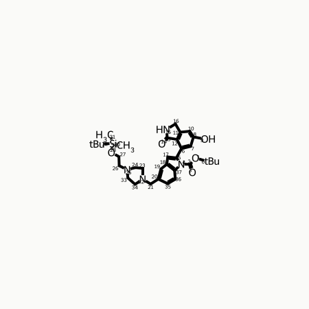 CC(C)(C)OC(=O)n1c(-c2cc(O)cc3c2C(=O)NC3)cc2cc(CN3CCN(CCO[Si](C)(C)C(C)(C)C)CC3)ccc21